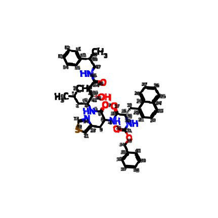 CC(C)C[C@H](NC(=O)C(Cc1cscn1)NC(=O)[C@H](Cc1cccc2ccccc12)NC(=O)OCc1ccccc1)[C@@H](O)CC(=O)NCC(C)c1ccccc1